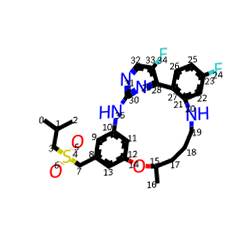 CC(C)CS(=O)(=O)Cc1cc2cc(c1)OC(C)CCCNc1cc(F)ccc1-c1nc(ncc1F)N2